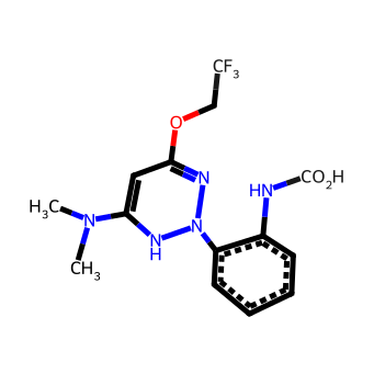 CN(C)C1=CC(OCC(F)(F)F)=NN(c2ccccc2NC(=O)O)N1